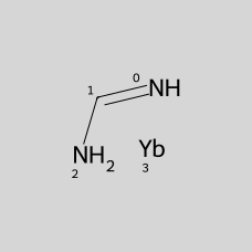 N=CN.[Yb]